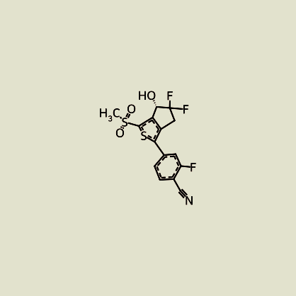 CS(=O)(=O)c1sc(-c2ccc(C#N)c(F)c2)c2c1[C@H](O)C(F)(F)C2